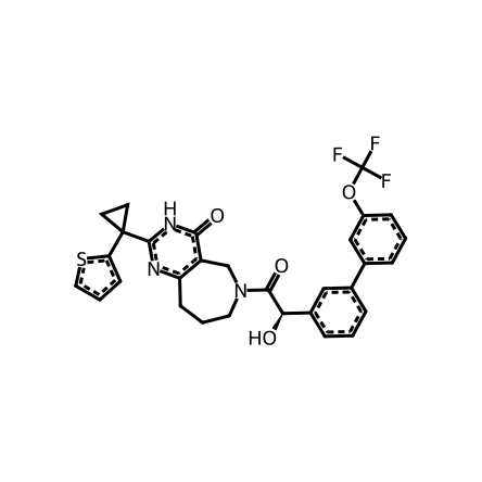 O=C([C@H](O)c1cccc(-c2cccc(OC(F)(F)F)c2)c1)N1CCCc2nc(C3(c4cccs4)CC3)[nH]c(=O)c2C1